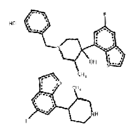 CC1CN(Cc2ccccc2)CCC1(O)c1cc(F)cc2ccsc12.CC1CNCCC1c1cc(F)cc2ccsc12.Cl